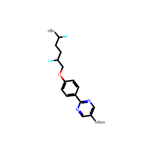 CCCCCCCCCc1cnc(-c2ccc(OCC(F)CCC(F)CCCC)cc2)nc1